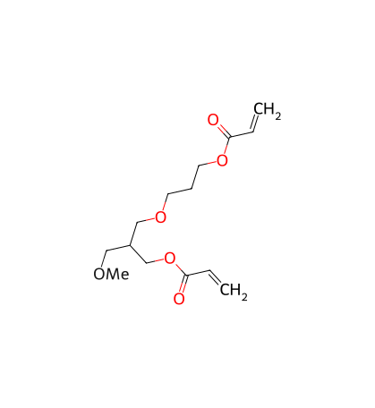 C=CC(=O)OCCCOCC(COC)COC(=O)C=C